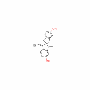 CCC=C1c2ccc(O)cc2C(C)C12Cc1ccc(O)cc1C2